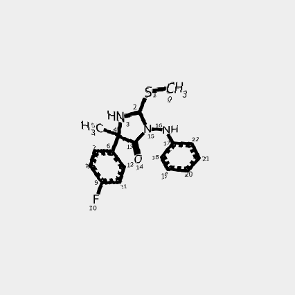 CSC1NC(C)(c2ccc(F)cc2)C(=O)N1Nc1ccccc1